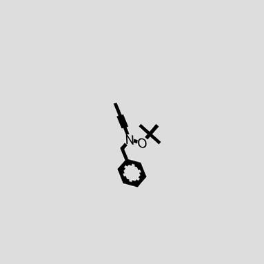 CC#CN(Cc1ccccc1)OC(C)(C)C